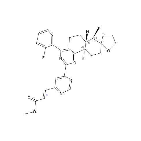 COC(=O)/C=C/c1cc(-c2nc(-c3ccccc3F)c3c(n2)[C@]2(C)CCC4(OCCO4)[C@H](C)[C@H]2CC3)ccn1